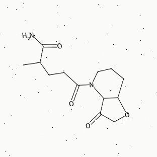 CC(C[CH]C(=O)N1CCCC2OCC(=O)C21)C(N)=O